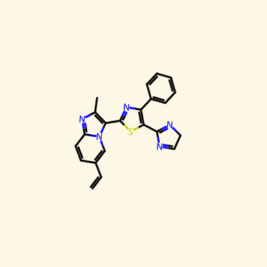 C=Cc1ccc2nc(C)c(-c3nc(-c4ccccc4)c(C4=NCC=N4)s3)n2c1